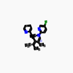 CC(C)=C(C#Cc1ccccn1)/C(C)=C\N(C)c1ccc(F)cn1